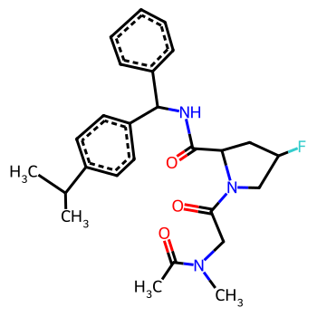 CC(=O)N(C)CC(=O)N1CC(F)CC1C(=O)NC(c1ccccc1)c1ccc(C(C)C)cc1